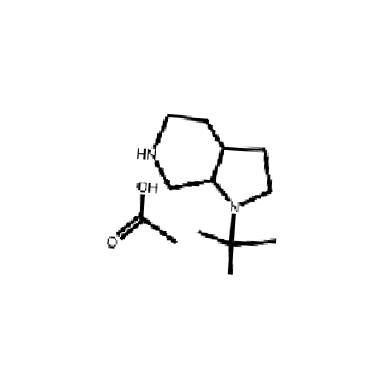 CC(=O)O.CC(C)(C)N1CCC2CCNCC21